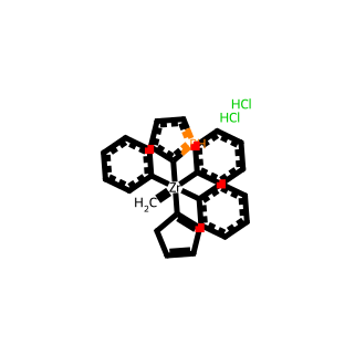 Cl.Cl.[CH2]=[Zr]([C]1=CC=CC1)([c]1ccccc1)([c]1ccccc1)([c]1ccccc1)[c]1ccc[pH]1